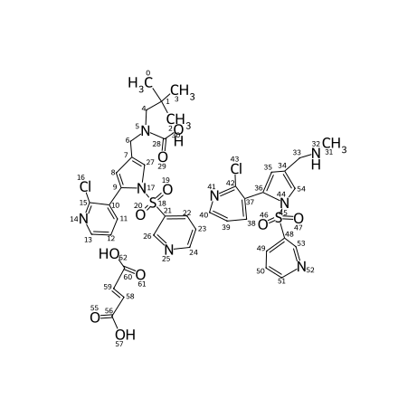 CC(C)(C)CN(Cc1cc(-c2cccnc2Cl)n(S(=O)(=O)c2cccnc2)c1)C(=O)O.CNCc1cc(-c2cccnc2Cl)n(S(=O)(=O)c2cccnc2)c1.O=C(O)C=CC(=O)O